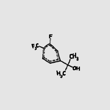 CC(C)(O)c1ccc(C(F)(F)F)c(F)c1